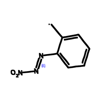 [CH2]c1ccccc1/N=N/[N+](=O)[O-]